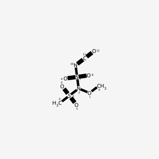 CON(S(C)(=O)=O)S(=O)(=O)N=C=O